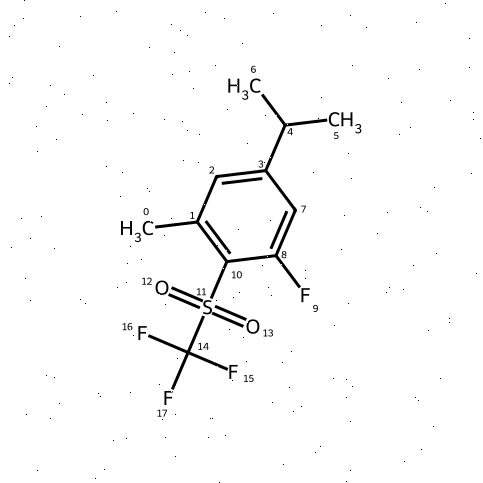 Cc1cc(C(C)C)cc(F)c1S(=O)(=O)C(F)(F)F